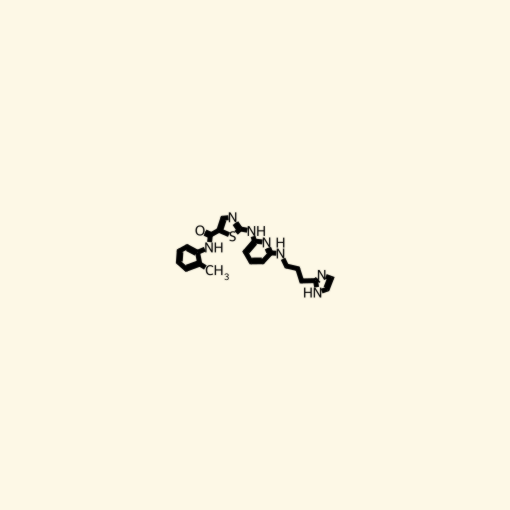 Cc1ccccc1NC(=O)c1cnc(Nc2cccc(NCCCc3ncc[nH]3)n2)s1